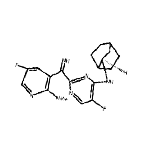 CNc1ncc(F)cc1C(=N)c1ncc(F)c(N[C@@H]2CC3CCC2CC3)n1